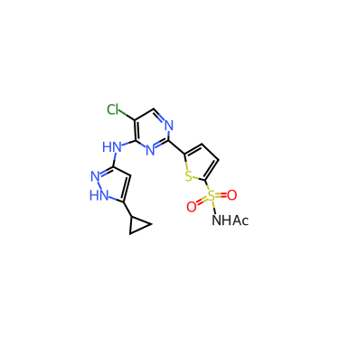 CC(=O)NS(=O)(=O)c1ccc(-c2ncc(Cl)c(Nc3cc(C4CC4)[nH]n3)n2)s1